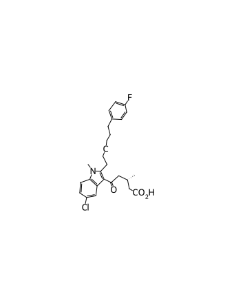 C[C@H](CC(=O)O)CC(=O)c1c(CCCCCCc2ccc(F)cc2)n(C)c2ccc(Cl)cc12